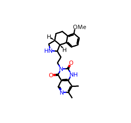 COc1cccc2c1CC[C@H]1CNC(CCn3c(=O)[nH]c4c(C)c(C)ncc4c3=O)[C@@H]21